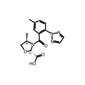 Cc1ccc(-n2nccn2)c(C(=O)N2[C@H](C)CO[C@H]2C(=O)O)c1